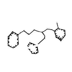 Cc1ccccc1CC(CCCc1ccccc1)Cn1ccnc1